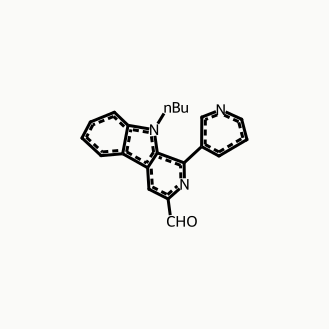 CCCCn1c2ccccc2c2cc(C=O)nc(-c3cccnc3)c21